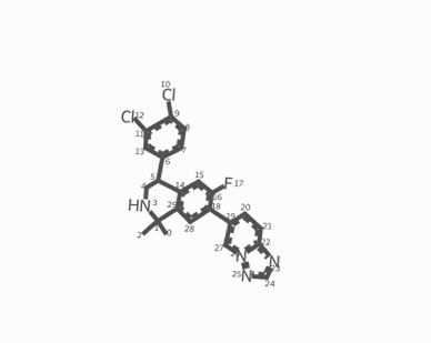 CC1(C)NCC(c2ccc(Cl)c(Cl)c2)c2cc(F)c(-c3ccc4ncnn4c3)cc21